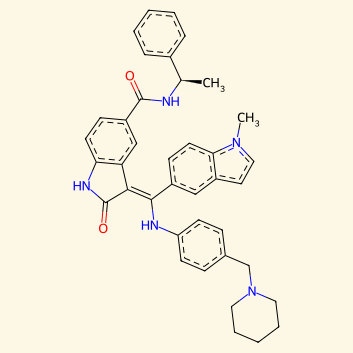 C[C@@H](NC(=O)c1ccc2c(c1)/C(=C(/Nc1ccc(CN3CCCCC3)cc1)c1ccc3c(ccn3C)c1)C(=O)N2)c1ccccc1